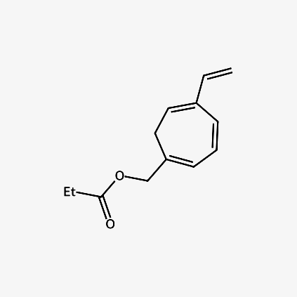 C=CC1=CCC(COC(=O)CC)=CC=C1